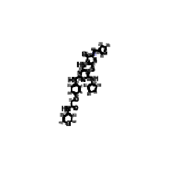 O=C(COc1ccc(Nc2nc(NC3CCCC3)nc(NN3C(=O)/C(=C/c4ccsc4)SC3=S)n2)cc1)NC1CCOCC1